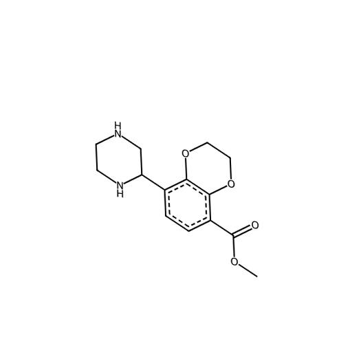 COC(=O)c1ccc(C2CNCCN2)c2c1OCCO2